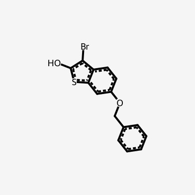 Oc1sc2cc(OCc3ccccc3)ccc2c1Br